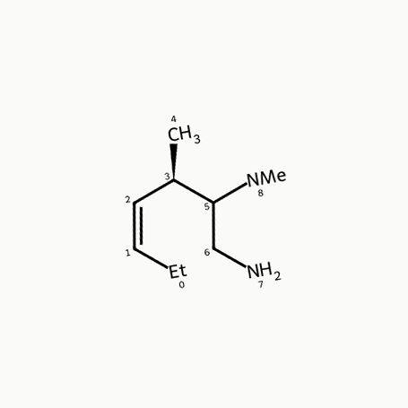 CC/C=C\[C@@H](C)C(CN)NC